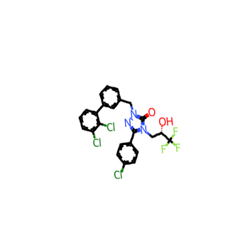 O=c1n(Cc2cccc(-c3cccc(Cl)c3Cl)c2)nc(-c2ccc(Cl)cc2)n1C[C@H](O)C(F)(F)F